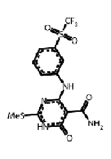 CSc1nc(Nc2cccc(S(=O)(=O)C(F)(F)F)c2)c(C(N)=O)c(=O)[nH]1